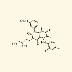 CC(=O)Nc1cccc(-n2c(=O)n(CC[C@@H](O)CO)c(=O)c3c(Nc4ccc(C)cc4F)n(C)c(=O)c(C)c32)c1